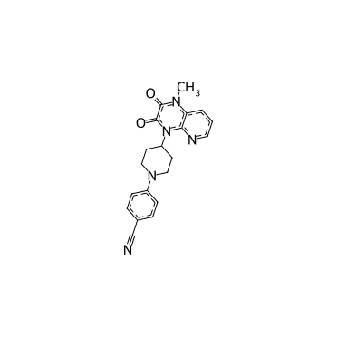 Cn1c(=O)c(=O)n(C2CCN(c3ccc(C#N)cc3)CC2)c2ncccc21